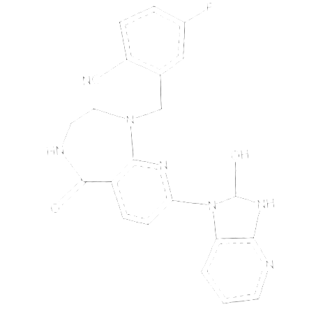 N#Cc1ccc(F)cc1CN1CCNC(=O)c2ccc(N3c4cccnc4NC3O)nc21